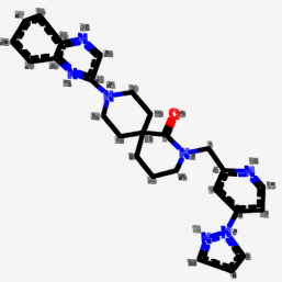 O=C1N(Cc2cc(-n3cccn3)ccn2)CCCC12CCN(c1cnc3ccccc3n1)CC2